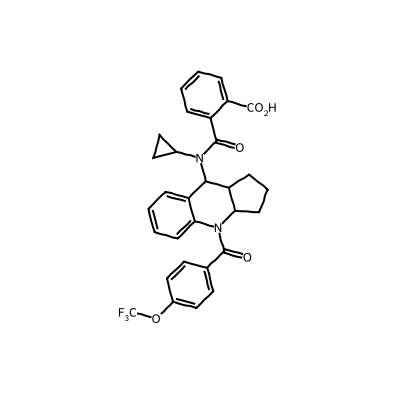 O=C(O)c1ccccc1C(=O)N(C1CC1)C1c2ccccc2N(C(=O)c2ccc(OC(F)(F)F)cc2)C2CCCC21